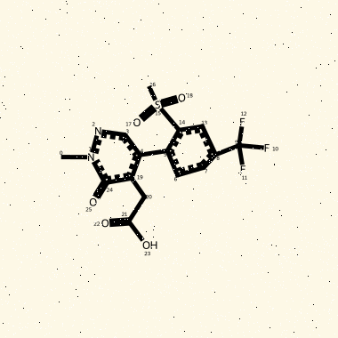 Cn1ncc(-c2ccc(C(F)(F)F)cc2S(C)(=O)=O)c(CC(=O)O)c1=O